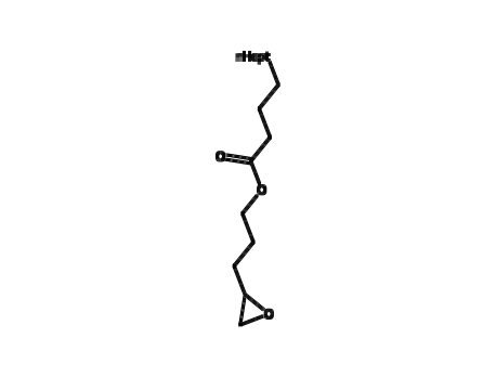 CCCCCCCCCCC(=O)OCCCC1CO1